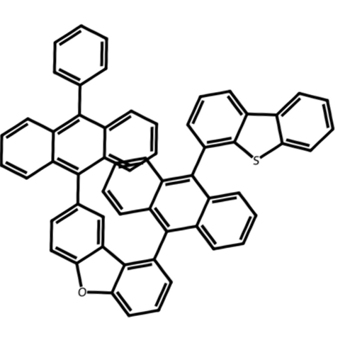 c1ccc(-c2c3ccccc3c(-c3ccc4oc5cccc(-c6c7ccccc7c(-c7cccc8c7sc7ccccc78)c7ccccc67)c5c4c3)c3ccccc23)cc1